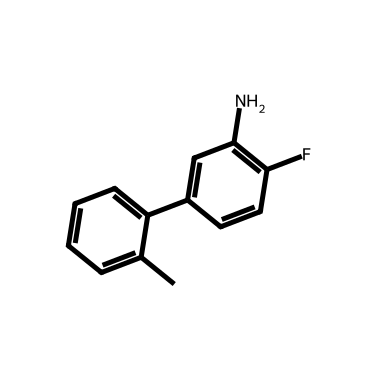 Cc1ccccc1-c1ccc(F)c(N)c1